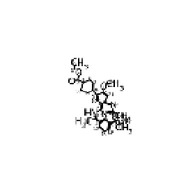 CCOC(=O)C1CC=C(c2cc3c(N[C@H](C)c4cccc(C(C)(C)O)c4)nc(C)nc3cc2OC)CC1